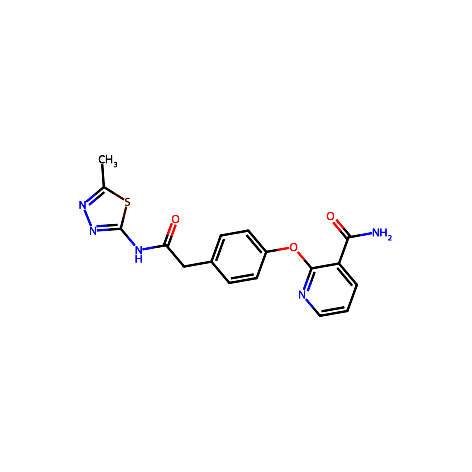 Cc1nnc(NC(=O)Cc2ccc(Oc3ncccc3C(N)=O)cc2)s1